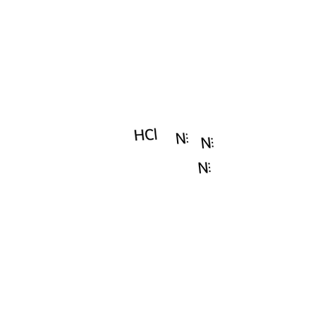 Cl.[N].[N].[N]